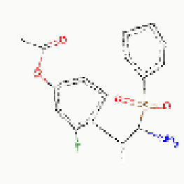 CC(=O)Oc1ccc(C(C)C(N)S(=O)(=O)c2ccccc2)c(F)c1